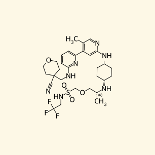 Cc1cnc(N[C@H]2CC[C@H](N[C@H](C)COCS(=O)(=O)NCC(F)(F)F)CC2)cc1-c1cccc(NCC2(C#N)CCOCC2)n1